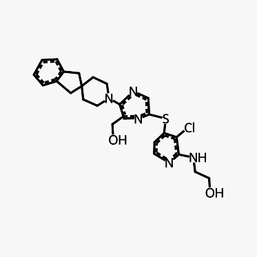 OCCNc1nccc(Sc2cnc(N3CCC4(CC3)Cc3ccccc3C4)c(CO)n2)c1Cl